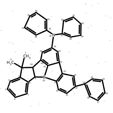 CC1(C)c2ccccc2C2B3c4ccc(-c5ccccc5)cc4-c4cc(N(c5ccccc5)c5ccccc5)cc(c43)C21